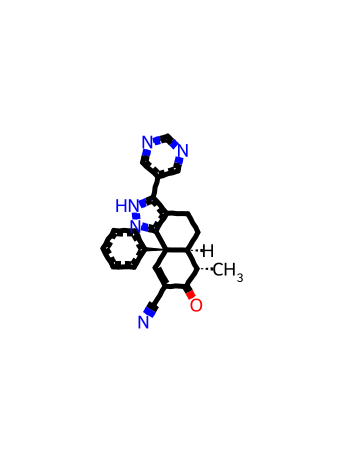 C[C@@H]1C(=O)C(C#N)=C[C@]2(c3ccccc3)c3n[nH]c(-c4cncnc4)c3CC[C@@H]12